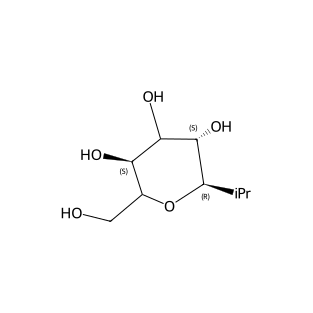 CC(C)[C@H]1OC(CO)[C@@H](O)C(O)[C@@H]1O